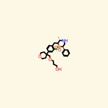 C[C@@H]1NC[C@@H](c2ccccc2)S(=O)(=O)C1Cc1ccc(C2(COCCCO)CCOCC2)cc1F